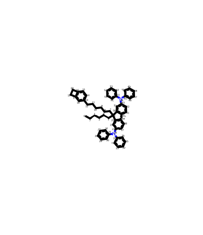 CCCCCCC1(CCCCCCc2ccc3c(c2)CC3)c2cc(N(c3ccccc3)c3ccccc3)ccc2-c2ccc(N(c3ccccc3)c3ccccc3)cc21